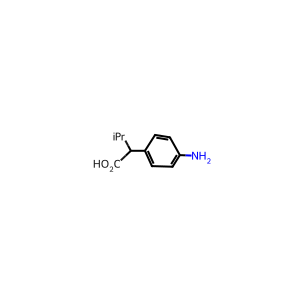 CC(C)C(C(=O)O)c1ccc(N)cc1